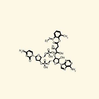 CCSSc1cccc(C)c1OC(=O)C[C@H](N)C(O)O[C@H]1[C@@H](O)[C@H](n2cnc3c(N)ncnc32)O[C@@H]1COP(=O)(O)O[C@H]1C[C@H](n2ccc(N)nc2=O)O[C@@H]1COP(=O)(O)O